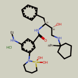 CCCC1(NC[C@@H](O)[C@H](Cc2ccccc2)NC(=O)c2cc(NCC)cc(N3CCCCS3(O)O)c2)CCCCC1.Cl